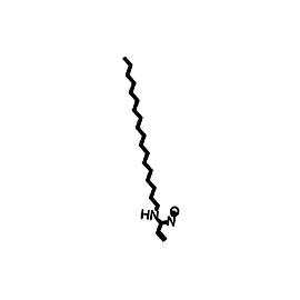 C=CC(N=O)NCCCCCCCCCCCCCCCCCC